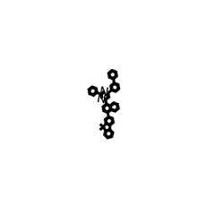 CC1(C)c2ccccc2-c2ccc(-c3ccc(-c4cc(-c5cccc(-c6ccccc6)c5)nc(-c5ccccc5)n4)c4ccccc34)cc21